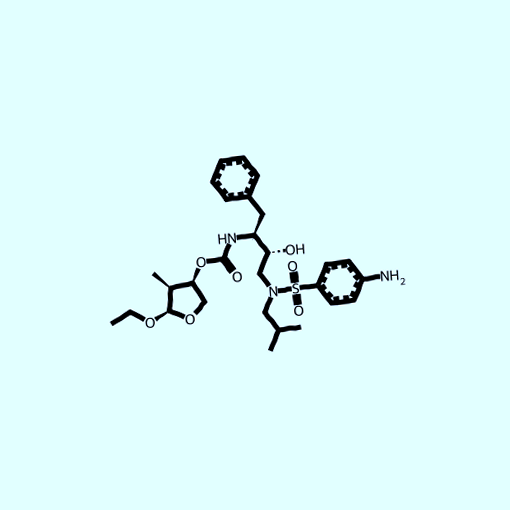 CCO[C@@H]1OC[C@H](OC(=O)N[C@@H](Cc2ccccc2)[C@H](O)CN(CC(C)C)S(=O)(=O)c2ccc(N)cc2)[C@@H]1C